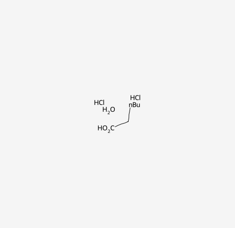 CCCCCC(=O)O.Cl.Cl.O